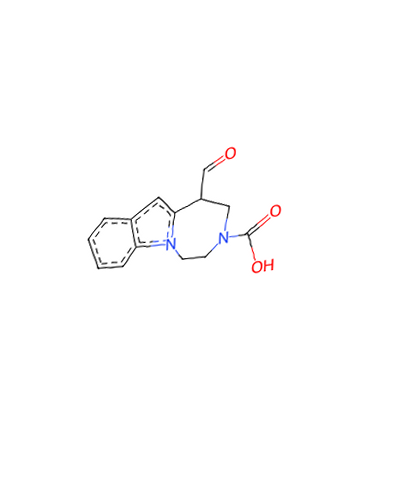 O=CC1CN(C(=O)O)CCn2c1cc1ccccc12